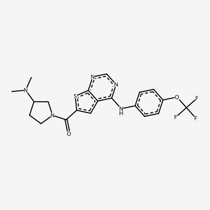 CN(C)C1CCN(C(=O)c2cc3c(Nc4ccc(OC(F)(F)F)cc4)ncnc3s2)C1